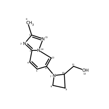 Cc1nc2ccc(N3CCC3CO)cn2n1